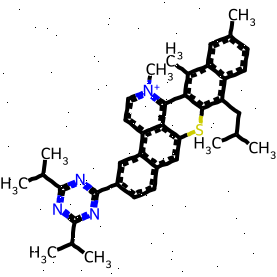 Cc1ccc2c(CC(C)C)c3c(c(C)c2c1)-c1c2c(cc4ccc(-c5nc(C(C)C)nc(C(C)C)n5)cc4c2cc[n+]1C)S3